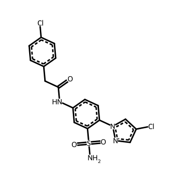 NS(=O)(=O)c1cc(NC(=O)Cc2ccc(Cl)cc2)ccc1-n1cc(Cl)cn1